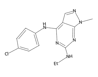 CCNc1nc(Nc2ccc(Cl)cc2)c2cnn(C)c2n1